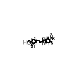 Cc1cc2nc(/C=C/c3ccc(O)c(Br)c3)sc2cc1N(C)C